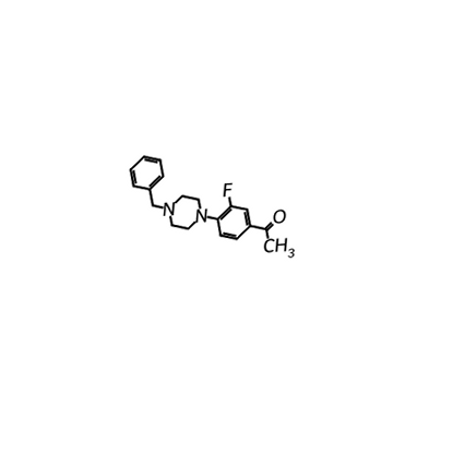 CC(=O)c1ccc(N2CCN(Cc3ccccc3)CC2)c(F)c1